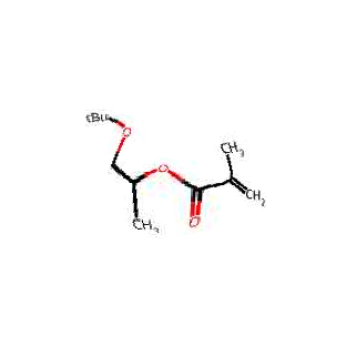 C=C(C)C(=O)OC(C)COC(C)(C)C